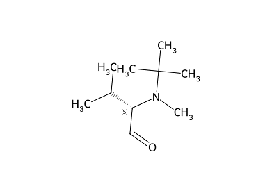 CC(C)[C@@H](C=O)N(C)C(C)(C)C